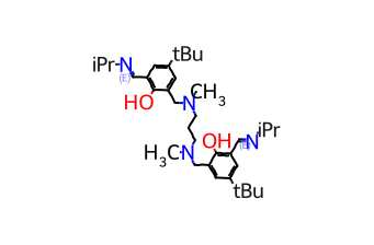 CC(C)/N=C/c1cc(C(C)(C)C)cc(CN(C)CCCN(C)Cc2cc(C(C)(C)C)cc(/C=N/C(C)C)c2O)c1O